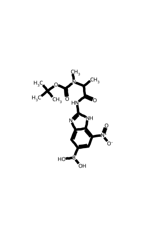 CC(C(=O)Nc1nc2cc(B(O)O)cc([N+](=O)[O-])c2[nH]1)N(C)C(=O)OC(C)(C)C